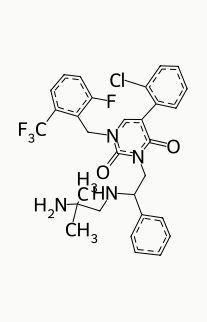 CC(C)(N)CNC(Cn1c(=O)c(-c2ccccc2Cl)cn(Cc2c(F)cccc2C(F)(F)F)c1=O)c1ccccc1